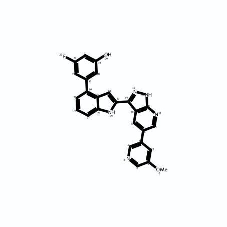 COc1cncc(-c2cnc3[nH]nc(-c4cc5c(-c6cc(O)cc(F)c6)cccc5[nH]4)c3c2)c1